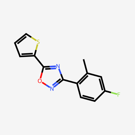 Cc1cc(F)ccc1-c1noc(-c2cccs2)n1